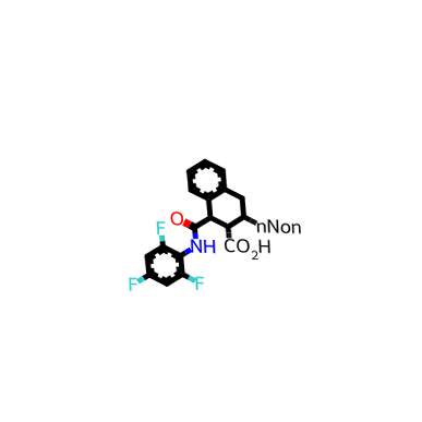 CCCCCCCCCC1Cc2ccccc2C(C(=O)Nc2c(F)cc(F)cc2F)C1C(=O)O